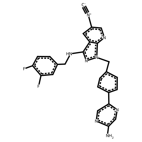 [C-]#[N+]c1cnc2c(c1)c(NCc1ccc(F)c(F)c1)nn2Cc1ccc(-c2cnc(N)cn2)cc1